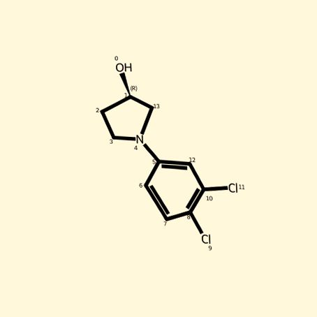 O[C@@H]1CCN(c2ccc(Cl)c(Cl)c2)C1